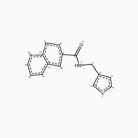 O=C(NCc1ccsc1)c1ccc2ncccc2c1